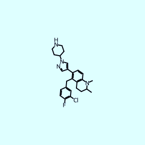 CC1CCc2c(ccc(-c3cnn(C4CCNCC4)c3)c2Cc2ccc(F)c(Cl)c2)N1C